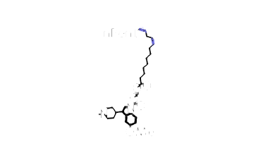 CCCCC/C=C\C/C=C\CCCCCCCC(=O)OCOC(=O)n1cc(C2CCN(C)CC2)c2cc(OC)ccc21